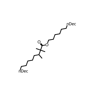 CCCCCCCCCCCCCCCCOC(=O)C(C)(C)C(C)CCCCCCCCCCCCCCC